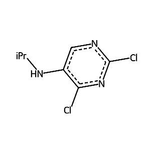 CC(C)Nc1cnc(Cl)nc1Cl